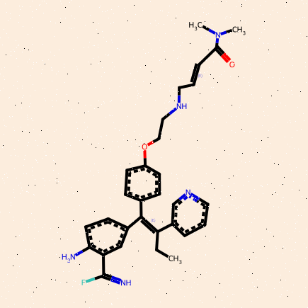 CC/C(=C(/c1ccc(OCCNC/C=C/C(=O)N(C)C)cc1)c1ccc(N)c(C(=N)F)c1)c1cccnc1